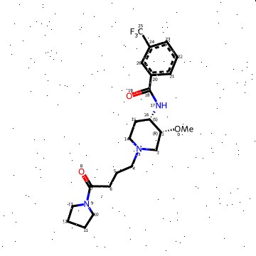 CO[C@@H]1CN(CCCC(=O)N2CCCC2)CC[C@@H]1NC(=O)c1cccc(C(F)(F)F)c1